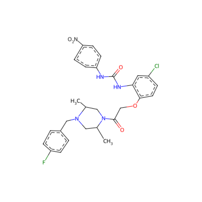 CC1CN(C(=O)COc2ccc(Cl)cc2NC(=O)Nc2ccc([N+](=O)[O-])cc2)C(C)CN1Cc1ccc(F)cc1